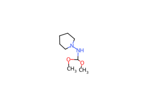 COC(NN1CCCCC1)OC